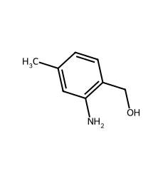 Cc1ccc(CO)c(N)c1